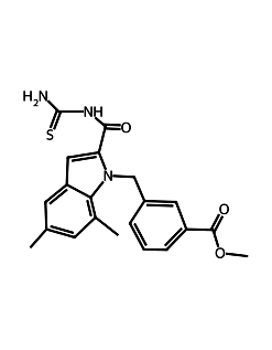 COC(=O)c1cccc(Cn2c(C(=O)NC(N)=S)cc3cc(C)cc(C)c32)c1